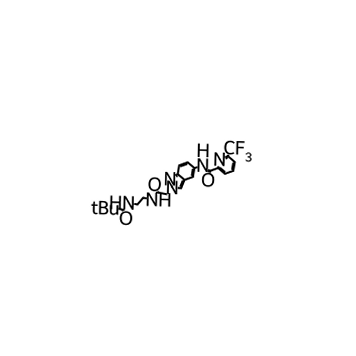 CC(C)(C)C(=O)NCCNC(=O)Cn1cc2cc(NC(=O)c3cccc(C(F)(F)F)n3)ccc2n1